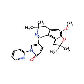 COc1cc2c(c3c1OC(C)(C)C3)C(c1ccc(=O)n(-c3ccccn3)c1)=NC(C)(C)C2